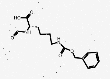 O=CN[C@@H](CCCCNC(=O)OCc1ccccc1)C(=O)O